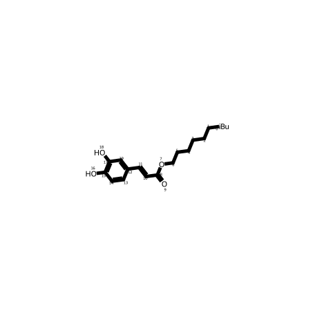 CCC(C)CCCCCCOC(=O)C=Cc1ccc(O)c(O)c1